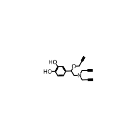 C#CCOC(CN(CC#C)CC#C)c1ccc(O)c(O)c1